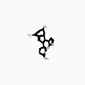 Nc1sccc1C1=C(c2ccc(O)cc2)Cc2c1cc(O)cc2C(F)(F)F